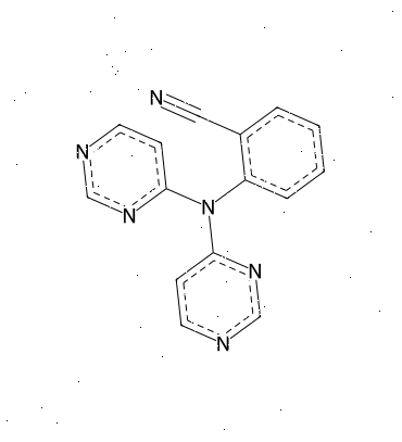 N#Cc1ccccc1N(c1ccncn1)c1ccncn1